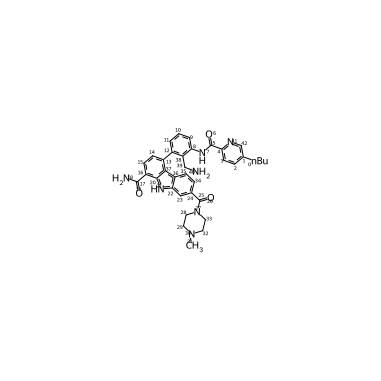 CCCCc1ccc(C(=O)Nc2cccc(-c3ccc(C(N)=O)c4[nH]c5cc(C(=O)N6CCN(C)CC6)ccc5c34)c2CN)nc1